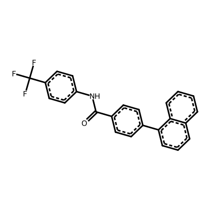 O=C(Nc1ccc(C(F)(F)F)cc1)c1ccc(-c2cccc3ccccc23)cc1